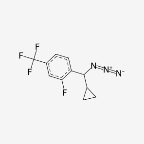 [N-]=[N+]=NC(c1ccc(C(F)(F)F)cc1F)C1CC1